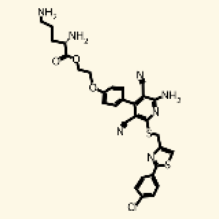 N#Cc1c(N)nc(SCc2csc(-c3ccc(Cl)cc3)n2)c(C#N)c1-c1ccc(OCCOC(=O)[C@@H](N)CCCN)cc1